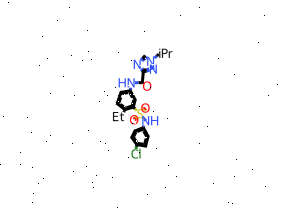 CCc1ccc(NC(=O)c2ncn(C(C)C)n2)cc1S(=O)(=O)Nc1ccc(Cl)cc1